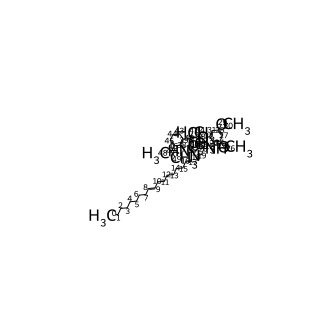 CCCCCCCCC=CCCCCCCCCN(CC(=O)Nc1c(OC)cc(OC)cc1OC)C(=O)Nc1c(C(C)C)cccc1C(C)C